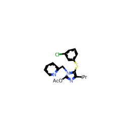 CC(=O)Oc1nc(C(C)C)c(Sc2cccc(Cl)c2)n1Cc1ccccn1